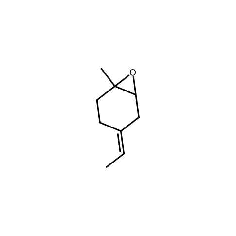 CC=C1CCC2(C)OC2C1